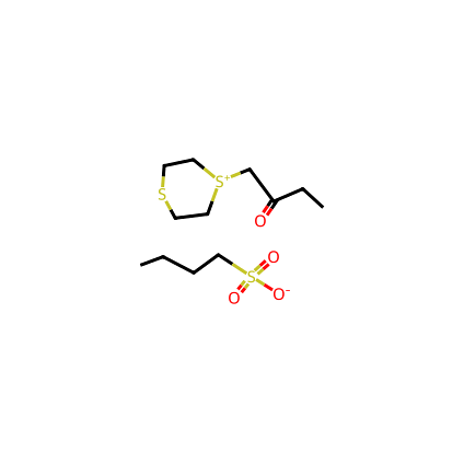 CCC(=O)C[S+]1CCSCC1.CCCCS(=O)(=O)[O-]